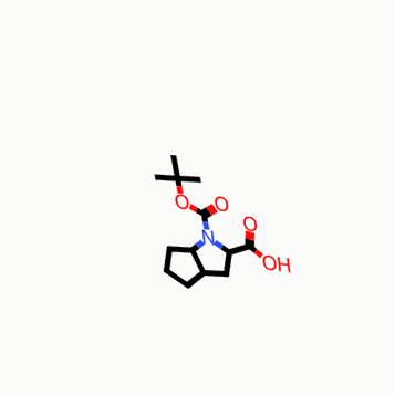 CC(C)(C)OC(=O)N1C(C(=O)O)CC2CCCC21